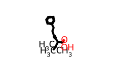 CC(C)(C)C(C#CCCc1ccccc1)C(=O)O